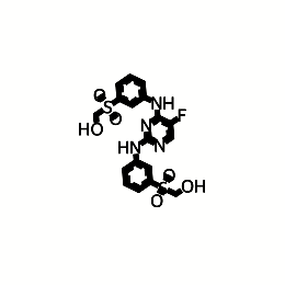 O=S(=O)(CO)c1cccc(Nc2ncc(F)c(Nc3cccc(S(=O)(=O)CO)c3)n2)c1